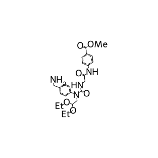 CCOC(CN(C(=O)NCC(=O)Nc1ccc(C(=O)OC)cc1)c1ccc(CN)cc1)OCC